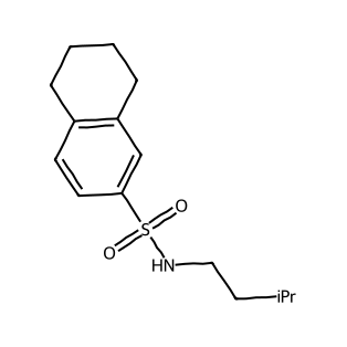 CC(C)CCNS(=O)(=O)c1ccc2c(c1)CCCC2